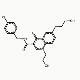 O=C(NCc1ccc(Cl)cc1)c1cn(CCO)c2ccc(CCCO)cc2c1=O